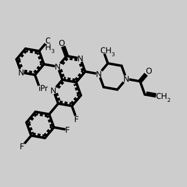 C=CC(=O)N1CCN(c2nc(=O)n(-c3c(C)ccnc3C(C)C)c3nc(-c4ccc(F)cc4F)c(F)cc23)C(C)C1